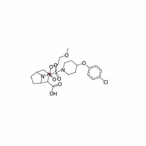 COCCOC(=O)N1C2CCC1C(C(=O)O)N(S(=O)(=O)N1CCC(Oc3ccc(Cl)cc3)CC1)C2